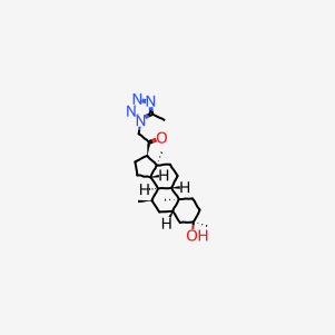 Cc1nnnn1CC(=O)[C@@H]1CC[C@H]2[C@@H]3[C@H](C)C[C@H]4C[C@](C)(O)CC[C@]4(C)[C@H]3CC[C@]12C